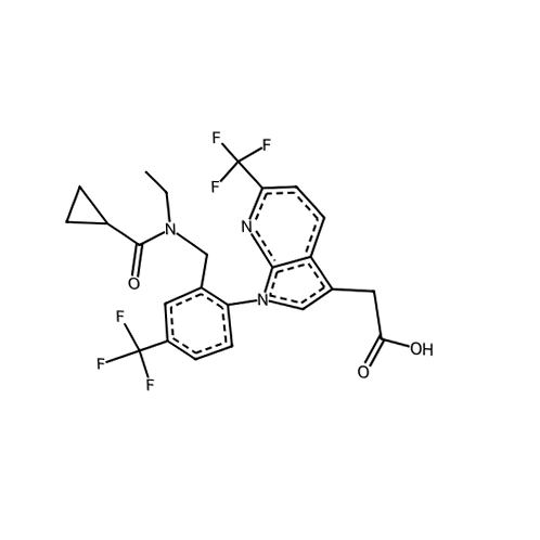 CCN(Cc1cc(C(F)(F)F)ccc1-n1cc(CC(=O)O)c2ccc(C(F)(F)F)nc21)C(=O)C1CC1